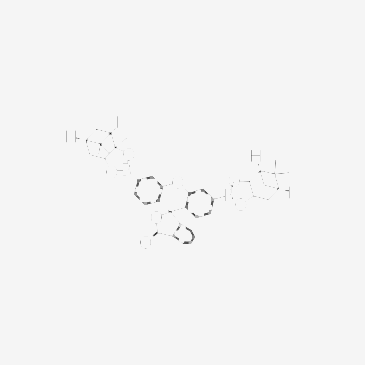 CC1(C)[C@@H]2CC3OB(c4ccc5c(c4)Oc4cc(B6OC7C[C@@H]8C[C@@H](C8(C)C)[C@]7(C)O6)ccc4C54OC(=O)c5ccccc54)O[C@@]3(C)[C@H]1C2